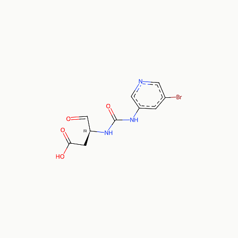 O=C[C@H](CC(=O)O)NC(=O)Nc1cncc(Br)c1